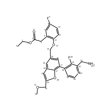 CCOC(=O)Cc1cc(F)ccc1OCc1cc(-c2ccnc(CN)c2F)c2oc(COC)cc2c1